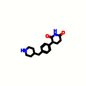 O=C1CCC(c2ccc(CC3CCNCC3)cc2)C(=O)N1